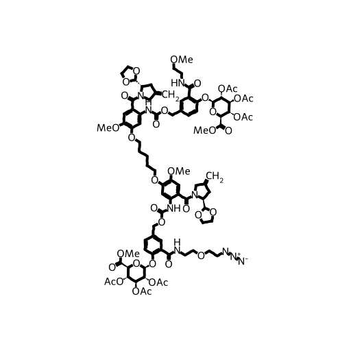 C=C1C[C@@H](C2OCCO2)N(C(=O)c2cc(OC)c(OCCCCCOc3cc(NC(=O)OCc4ccc(O[C@@H]5O[C@H](C(=O)OC)[C@@H](OC(C)=O)[C@H](OC(C)=O)[C@H]5OC(C)=O)c(C(=O)NCCOCCN=[N+]=[N-])c4)c(C(=O)N4CC(=C)C[C@H]4C4OCCO4)cc3OC)cc2NC(=O)OCc2ccc(O[C@@H]3O[C@H](C(=O)OC)[C@@H](OC(C)=O)[C@H](OC(C)=O)[C@H]3OC(C)=O)c(C(=O)NCCOC)c2)C1